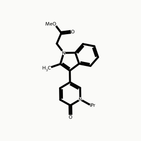 COC(=O)Cn1c(C)c(-c2ccc(=O)n(C(C)C)c2)c2ccccc21